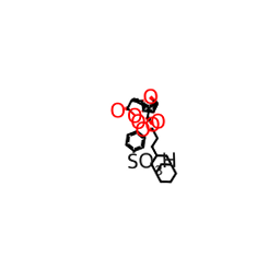 O=C(CCC1CC2CCCC(C2)C1)Oc1c2c3oc1c(C(=O)Oc1ccc(S(=O)(=O)O)cc1)c3C(=O)O2